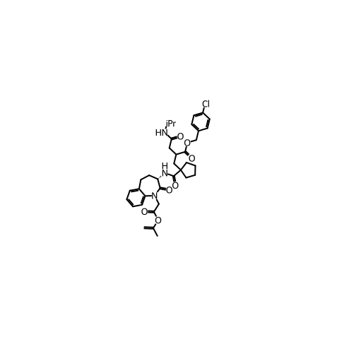 C=C(C)OC(=O)CN1C(=O)[C@@H](NC(=O)C2(CC(CC(=O)NC(C)C)C(=O)OCc3ccc(Cl)cc3)CCCC2)CCc2ccccc21